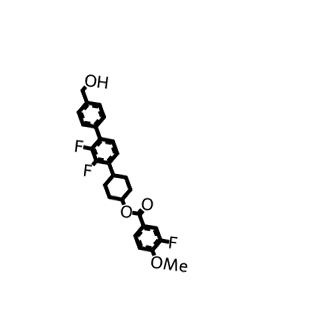 COc1ccc(C(=O)OC2CCC(c3ccc(-c4ccc(CO)cc4)c(F)c3F)CC2)cc1F